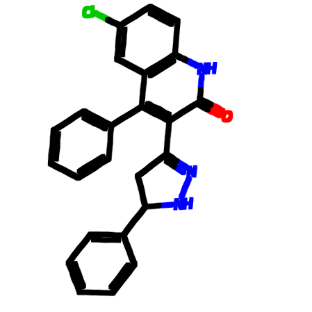 O=c1[nH]c2ccc(Cl)cc2c(-c2ccccc2)c1C1=NNC(c2ccccc2)C1